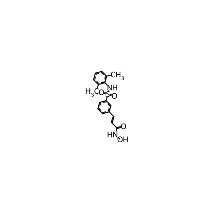 Cc1cccc(C)c1NS(=O)(=O)c1cccc(/C=C/C(=O)NO)c1